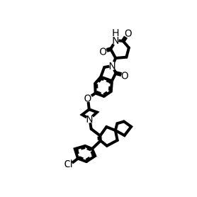 O=C1CCC(N2Cc3cc(OC4CN(CC5=C(c6ccc(Cl)cc6)CCC6(CCCC6)C5)C4)ccc3C2=O)C(=O)N1